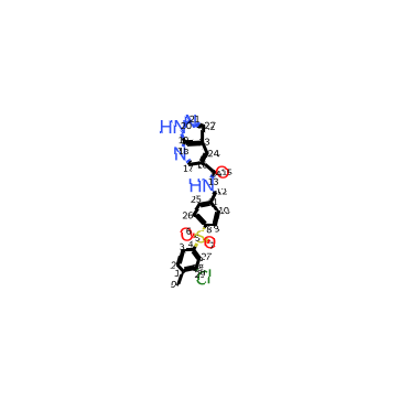 Cc1ccc(S(=O)(=O)c2ccc(CNC(=O)c3cnc4[nH]ncc4c3)cc2)cc1Cl